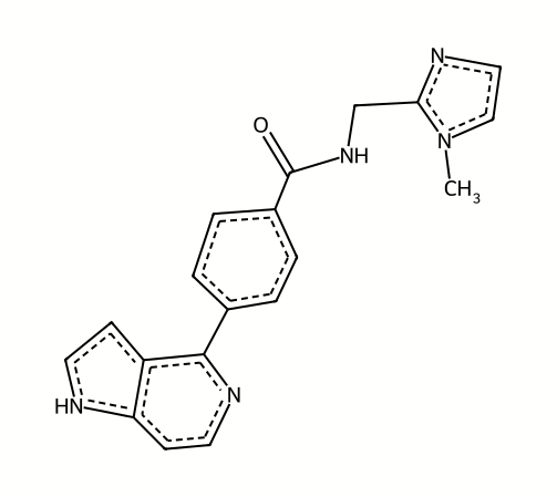 Cn1ccnc1CNC(=O)c1ccc(-c2nccc3[nH]ccc23)cc1